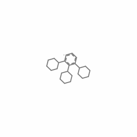 [c]1ccc(C2CCCCC2)c(C2CCCCC2)c1C1CCCCC1